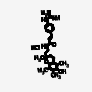 Cc1c(C)c2c(c(C)c1O)CCC(C)(CCNC(=O)/C=C/c1ccc(NC(=N)N)cc1)O2.Cl